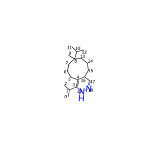 CC(C)C1=C2CCCC(C)(C(C)C)CCCC2C=NN1